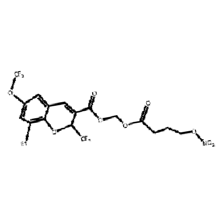 CCc1cc(OC(F)(F)F)cc2c1OC(C(F)(F)F)C(C(=O)OCOC(=O)CCCO[N+](=O)[O-])=C2